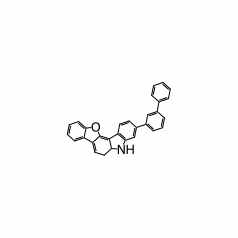 C1=c2c(oc3ccccc23)=C2c3ccc(-c4cccc(-c5ccccc5)c4)cc3NC2C1